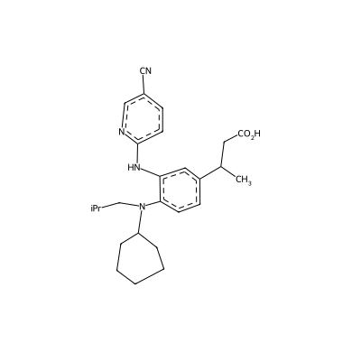 CC(C)CN(c1ccc(C(C)CC(=O)O)cc1Nc1ccc(C#N)cn1)C1CCCCC1